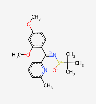 COc1ccc(/C(=N/[S+]([O-])C(C)(C)C)c2cccc(C)n2)c(OC)c1